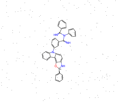 N=C(c1ccccc1)N(C(=N)c1cccc(-n2c3ccccc3c3c4c(ccc32)N[C@@H](c2ccccc2)O4)c1)c1ccccc1